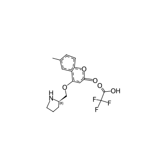 Cc1ccc2oc(=O)cc(OC[C@H]3CCCN3)c2c1.O=C(O)C(F)(F)F